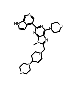 Cn1c(CN2CCC(N3CCOCC3)CC2)nc2c(N3CCOCC3)nc(-c3cncc4[nH]ccc34)nc21